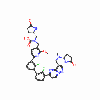 COc1nc(-c2cccc(-c3cccc(-c4ccn5ncc(CN(C)[C@H]6CCC(=O)N6)c5n4)c3Cl)c2Cl)ccc1CN(C[C@@H]1CCC(=O)N1)C(=O)O